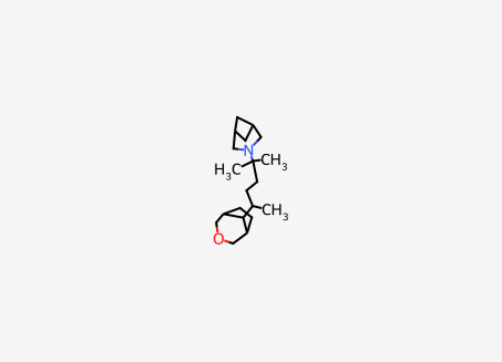 CC(CCC(C)(C)N1CC2CC(C2)C1)C1C2CCC1COC2